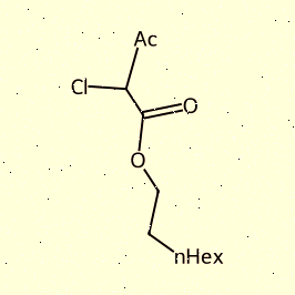 CCCCCCCCOC(=O)C(Cl)C(C)=O